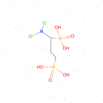 O=P(O)(O)CCC(N(Cl)Cl)P(=O)(O)O